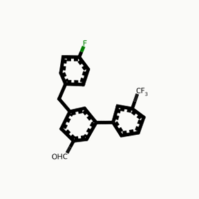 O=Cc1cc(Cc2ccc(F)cc2)cc(-c2cccc(C(F)(F)F)c2)c1